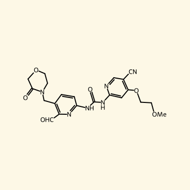 COCCOc1cc(NC(=O)Nc2ccc(CN3CCOCC3=O)c(C=O)n2)ncc1C#N